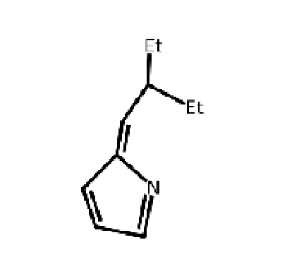 CCC(C=C1C=CC=N1)CC